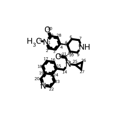 Cn1ccc([C@H]2CCNC[C@@H]2C(=O)N(Cc2cccc3cnccc23)C2CC2)cc1=O